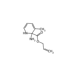 C=CCOC(=O)C1(N)NC=CC=C1C